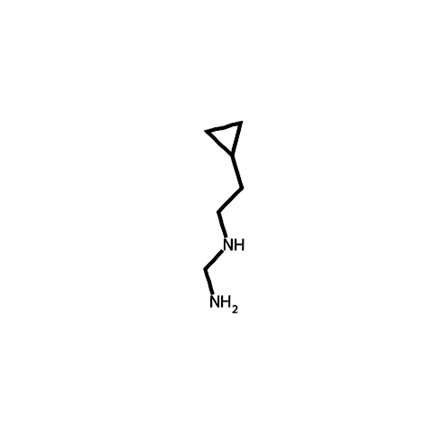 NCNCCC1CC1